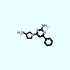 Nc1nc(-c2ccccc2)cc(N2CCC(N)C2)n1